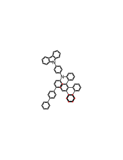 c1ccc(-c2ccc(-c3ccc(N(c4ccc(-n5c6ccccc6c6ccccc65)cc4)c4ccccc4-c4cccc(-c5ccccc5)c4-c4ccccc4-c4ccccc4)cc3)cc2)cc1